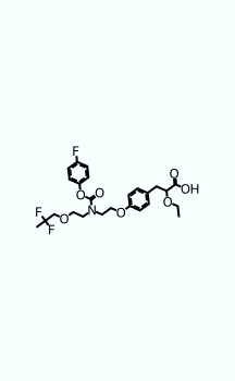 CCOC(Cc1ccc(OCCN(CCOCC(C)(F)F)C(=O)Oc2ccc(F)cc2)cc1)C(=O)O